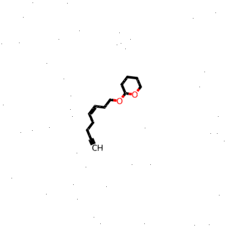 C#CCC/C=C\CCOC1CCCCO1